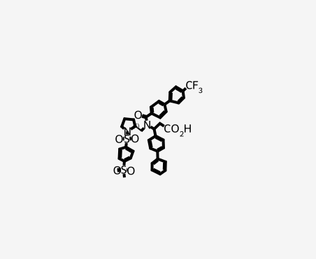 CS(=O)(=O)c1ccc(S(=O)(=O)N2CCC[C@H]2CN(C(=O)c2ccc(-c3ccc(C(F)(F)F)cc3)cc2)C(CC(=O)O)c2ccc(-c3ccccc3)cc2)cc1